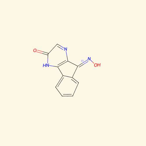 O=c1cnc2c([nH]1)-c1ccccc1/C2=N\O